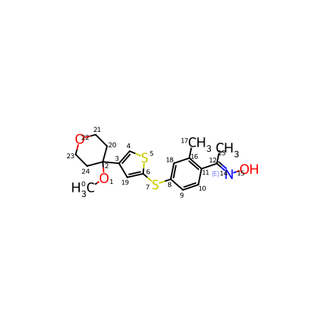 COC1(c2csc(Sc3ccc(/C(C)=N/O)c(C)c3)c2)CCOCC1